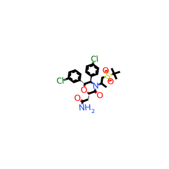 CC(CS(=O)(=O)C(C)(C)C)N1C(=O)[C@H](CC(N)=O)O[C@H](c2cccc(Cl)c2)[C@H]1c1ccc(Cl)cc1